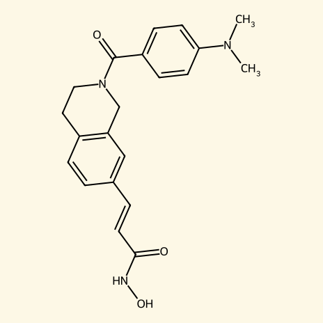 CN(C)c1ccc(C(=O)N2CCc3ccc(/C=C/C(=O)NO)cc3C2)cc1